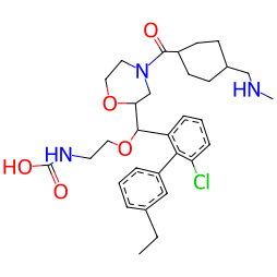 CCc1cccc(-c2c(Cl)cccc2C(OCCNC(=O)O)C2CN(C(=O)C3CCC(CNC)CC3)CCO2)c1